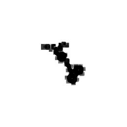 CCCCOC(Cc1ccc(OCCCC2c3ccccc3-c3ccccc32)cc1)C(=O)O